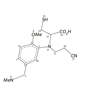 CNCc1ccc(OC)c(N(CCC#N)C(CS)C(=O)O)c1